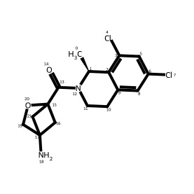 C[C@H]1c2c(Cl)cc(Cl)cc2CCN1C(=O)C12CC(N)(CO1)C2